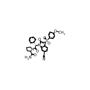 COc1ccc(S(=O)(=O)n2c(=O)n([C@H](C(=O)N3CC[CH]C3C(N)=O)c3ccccc3)c3cc(C#N)ccc32)cc1